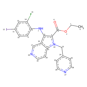 CCOC(=O)c1c(Nc2ccc(I)cc2F)c2cnccc2n1Cc1ccncc1